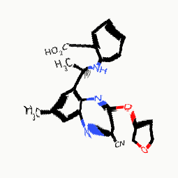 Cc1cc([C@@H](C)Nc2ccccc2C(=O)O)c2nc(OC3CCOC3)c(C#N)nc2c1